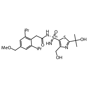 COCc1cc(C(C)C)c(CC(=O)N[S@](=N)(=O)c2sc(C(C)(C)O)nc2CO)c(C(C)C)c1